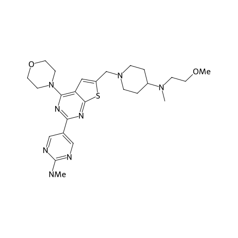 CNc1ncc(-c2nc(N3CCOCC3)c3cc(CN4CCC(N(C)CCOC)CC4)sc3n2)cn1